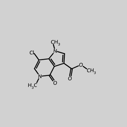 COC(=O)c1cn(C)c2c(Cl)cn(C)c(=O)c12